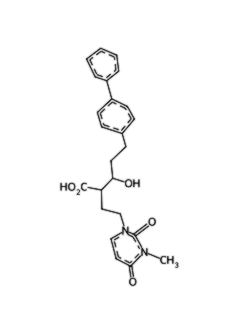 Cn1c(=O)ccn(CCC(C(=O)O)C(O)CCc2ccc(-c3ccccc3)cc2)c1=O